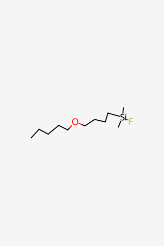 CCCCCOCCCC[Si](C)(C)F